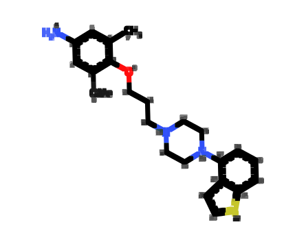 COc1cc(N)cc(C)c1OCCCN1CCN(c2cccc3sccc23)CC1